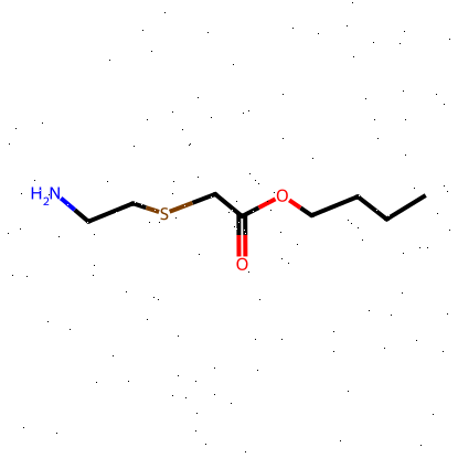 CCCCOC(=O)CSCCN